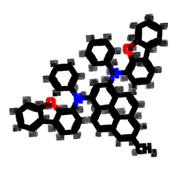 Cc1cc2ccc3c(N(c4ccccc4)c4cccc5c4oc4ccccc45)cc(N(c4ccccc4)c4cccc5c4oc4ccccc45)c4ccc(c1)c2c34